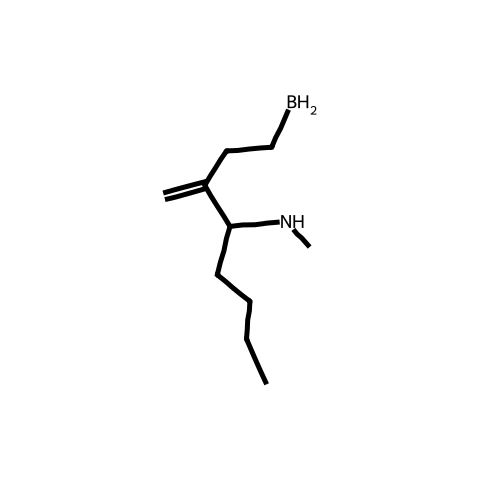 BCCC(=C)C(CCCC)NC